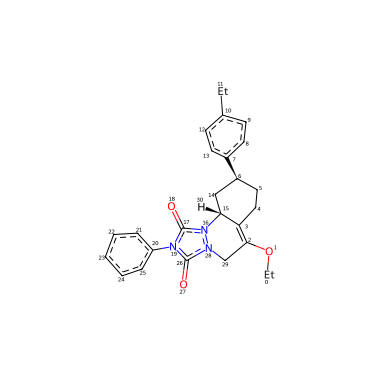 CCOC1=C2CC[C@H](c3ccc(CC)cc3)C[C@H]2n2c(=O)n(-c3ccccc3)c(=O)n2C1